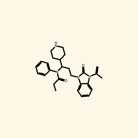 C=C(C)n1c(=O)n(CCC(C2CCNCC2)N(C(=O)CC)c2ccccc2)c2ccccc21